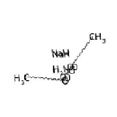 CCCCCCCCCCCCCCCCCC(=O)OC(=O)CC[C@H](N)C(=O)OC(=O)CCCCCCCCCCCCCCCCC.[NaH].[NaH]